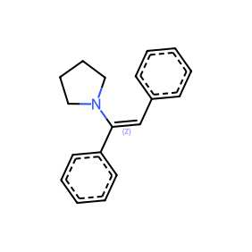 C(=C(\c1ccccc1)N1CCCC1)/c1ccccc1